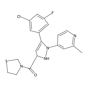 Cc1cc(N2NC(C(=O)N3CCSC3)C=C2c2cc(F)cc(Cl)c2)ccn1